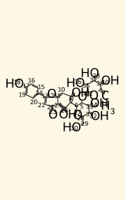 C[C@@H]1OC(OC2C(c3c(O)cc4oc(-c5ccc(O)cc5)cc(=O)c4c3O)OC(CO)C(O)C2O)C(O)C(O)C1O